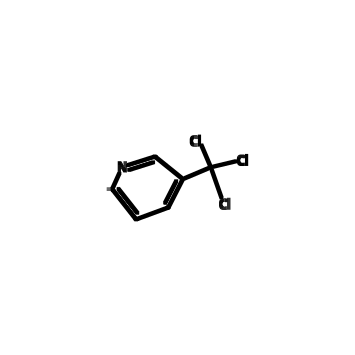 ClC(Cl)(Cl)c1cc[c]nc1